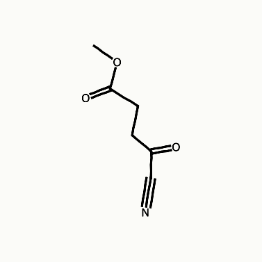 COC(=O)CCC(=O)C#N